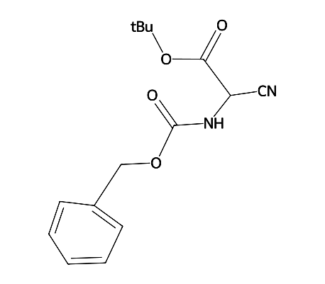 CC(C)(C)OC(=O)C(C#N)NC(=O)OCc1ccccc1